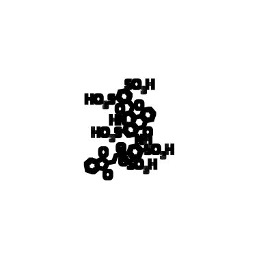 O=C(c1cc(S(=O)(=O)O)cc(S(=O)(=O)O)c1)c1c2c3c(c(Nc4cc(S(=O)(=O)CCC5C(=O)c6ccccc6C5=O)c(S(=O)(=O)O)cc4S(=O)(=O)O)cc(S(=O)(=O)O)c3[nH]c1=O)C(=O)c1ccccc1-2